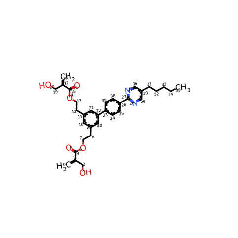 C=C(CO)C(=O)OCCc1cc(CCOC(=O)C(=C)CO)cc(-c2ccc(-c3ncc(CCCCC)cn3)cc2)c1